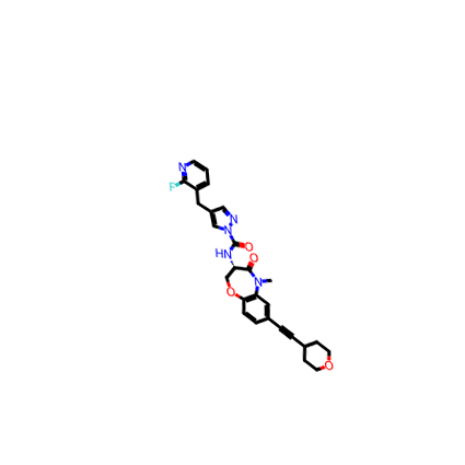 CN1C(=O)[C@@H](NC(=O)n2cc(Cc3cccnc3F)cn2)COc2ccc(C#CC3CCOCC3)cc21